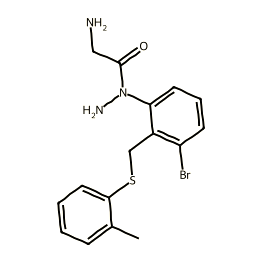 Cc1ccccc1SCc1c(Br)cccc1N(N)C(=O)CN